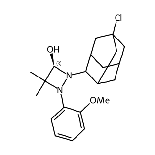 COc1ccccc1N1N(C2C3CC4CC2CC(Cl)(C4)C3)[C@H](O)C1(C)C